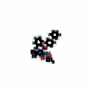 CCC1(CC)C[C@@H](NS(C)(=O)=O)[C@@H](CO[C@H]2CC[C@@H](c3ccccc3)CC2)N1Cc1ccccc1